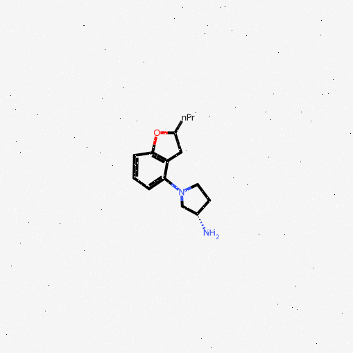 CCCC1Cc2c(cccc2N2CC[C@H](N)C2)O1